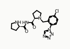 O=C(NC(=O)[C@H]1CCCN1)[C@H]1CCCN1Cc1cc(Cl)ccc1-n1cnnn1